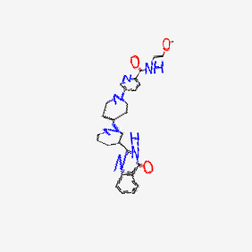 COCCNC(=O)c1ccc(N2CCC(N3CCCC(c4nc5ccccc5c(=O)[nH]4)C3)CC2)cn1